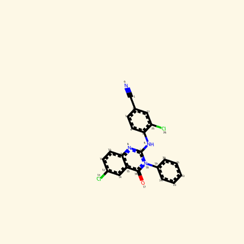 N#Cc1ccc(Nc2nc3ccc(Cl)cc3c(=O)n2-c2ccccc2)c(Cl)c1